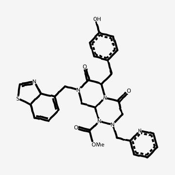 COC(=O)N1C2CN(CC3=CC=CC4SC=NC34)C(=O)C(Cc3ccc(O)cc3)N2C(=O)CN1Cc1ccccn1